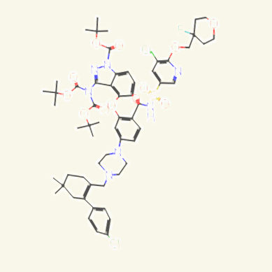 CC1(C)CCC(CN2CCN(c3ccc(C(=O)NS(=O)(=O)c4cnc(OCC5(F)CCOCC5)c(Cl)c4)c(Oc4cccc5c4c(N(C(=O)OC(C)(C)C)C(=O)OC(C)(C)C)nn5C(=O)OC(C)(C)C)c3)CC2)=C(c2ccc(Cl)cc2)C1